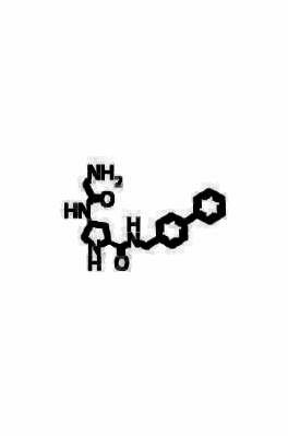 NCC(=O)N[C@H]1CN[C@H](C(=O)NCc2ccc(-c3ccccc3)cc2)C1